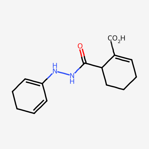 O=C(O)C1=CCCCC1C(=O)NNC1=CCCC=C1